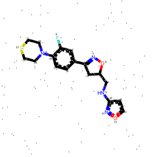 Fc1cc(C2=NOC(CNc3ccon3)C2)ccc1N1CCSCC1